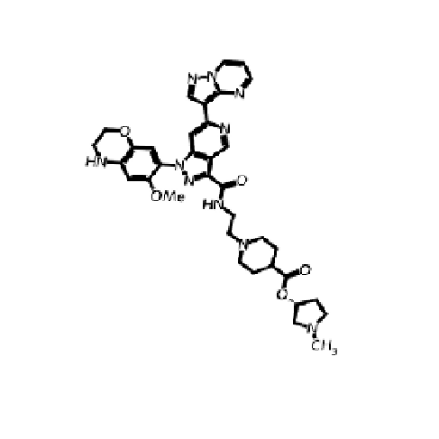 COc1cc2c(cc1-n1nc(C(=O)NCCN3CCC(C(=O)O[C@@H]4CCN(C)C4)CC3)c3cnc(-c4cnn5cccnc45)cc31)OCCN2